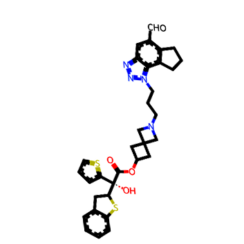 O=Cc1cc2nnn(CCCN3CC4(CC(OC(=O)[C@](O)(c5cccs5)C5Cc6ccccc6S5)C4)C3)c2c2c1CCC2